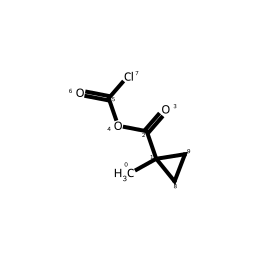 CC1(C(=O)OC(=O)Cl)CC1